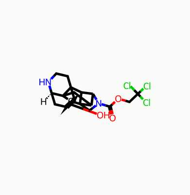 O=C(OCC(Cl)(Cl)Cl)N1CC23CC45CC2C1C3C41CCN[C@@H]5Cc2ccc(O)cc21